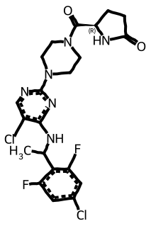 CC(Nc1nc(N2CCN(C(=O)[C@H]3CCC(=O)N3)CC2)ncc1Cl)c1c(F)cc(Cl)cc1F